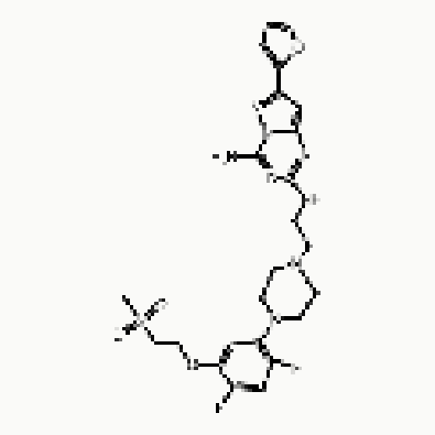 CS(=O)(=O)CCOc1cc(N2CCN(CCNc3nc(N)n4nc(-c5ccco5)cc4n3)CC2)c(F)cc1F